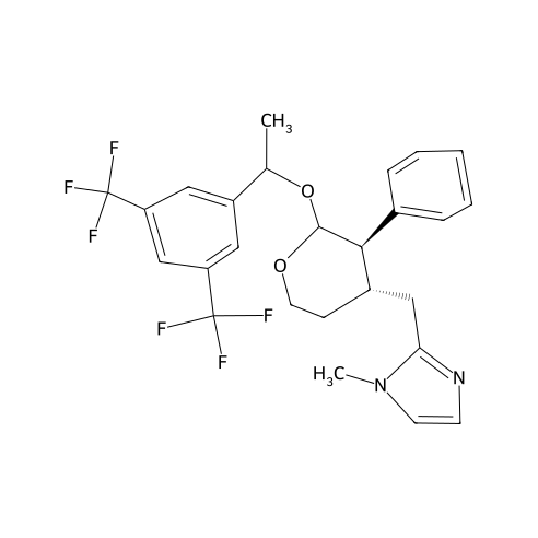 CC(OC1OCC[C@@H](Cc2nccn2C)[C@@H]1c1ccccc1)c1cc(C(F)(F)F)cc(C(F)(F)F)c1